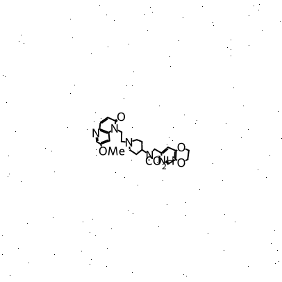 COc1cnc2ccc(=O)n(CCN3CCC(N(Cc4cc5c(cn4)OCCO5)C(=O)O)CC3)c2c1